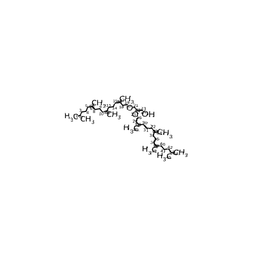 CC(C)CCC[C@@H](C)CCC[C@H](C)CCC[C@H](C)CCOC[C@@H](CO)OCC[C@@H](C)CCC[C@@H](C)CCC[C@H](C)CCCC(C)C